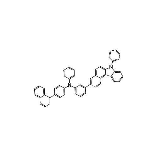 c1ccc(N(c2ccc(-c3cccc4ccccc34)cc2)c2cccc(-c3ccc4c(ccc5c4c4ccccc4n5-c4ccccc4)c3)c2)cc1